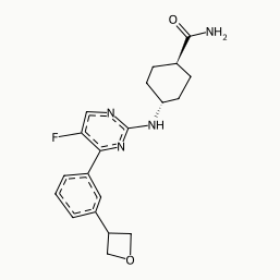 NC(=O)[C@H]1CC[C@H](Nc2ncc(F)c(-c3cccc(C4COC4)c3)n2)CC1